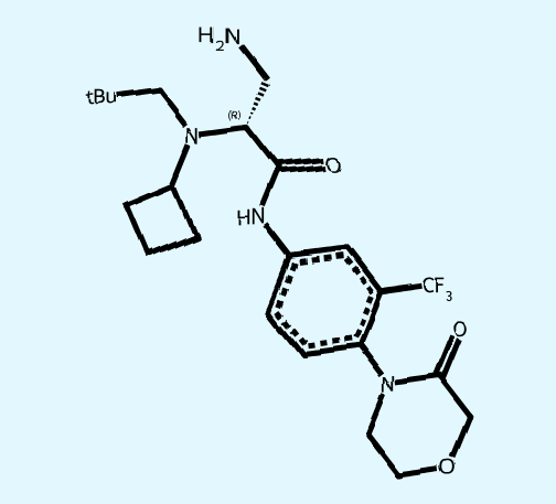 CC(C)(C)CN(C1CCC1)[C@H](CN)C(=O)Nc1ccc(N2CCOCC2=O)c(C(F)(F)F)c1